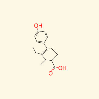 CCC1=C(c2ccc(O)cc2)CCC(C(=O)O)C1C